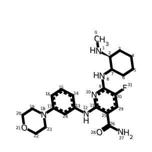 CN[C@H]1CCCCC1Nc1nc(Nc2cccc(N3CCOCC3)c2)c(C(N)=O)cc1F